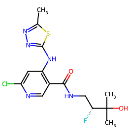 Cc1nnc(Nc2cc(Cl)ncc2C(=O)NC[C@@H](F)C(C)(C)O)s1